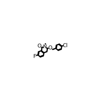 CN1C(=O)c2cc(F)ccc2CC1OCc1ccc(Cl)cc1